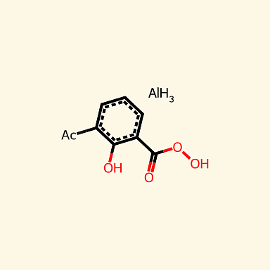 CC(=O)c1cccc(C(=O)OO)c1O.[AlH3]